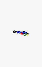 O=C(CN1CCN(CCc2ccccc2)CC1)N1CCN(Cc2ccsc2Cl)CC1